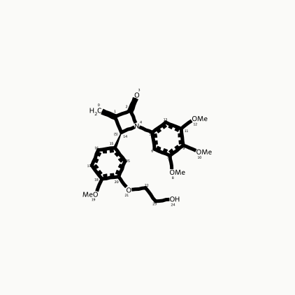 C=C1C(=O)N(c2cc(OC)c(OC)c(OC)c2)[C@H]1c1ccc(OC)c(OCCO)c1